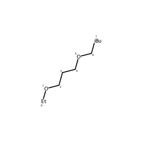 CCOCCCOCC(C)CC